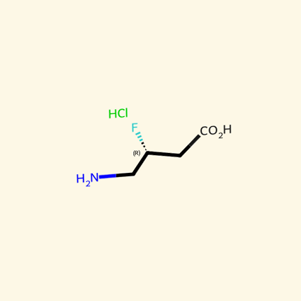 Cl.NC[C@H](F)CC(=O)O